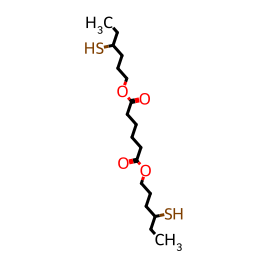 CCC(S)CCCOC(=O)CCCCC(=O)OCCCC(S)CC